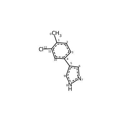 Cc1ccc(-c2cn[nH]c2)cc1Cl